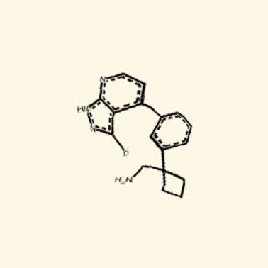 NCC1(c2cccc(-c3ccnc4[nH]nc(Cl)c34)c2)CCC1